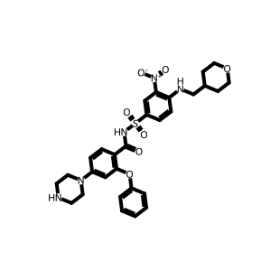 O=C(NS(=O)(=O)c1ccc(NCC2CCOCC2)c([N+](=O)[O-])c1)c1ccc(N2CCNCC2)cc1Oc1ccccc1